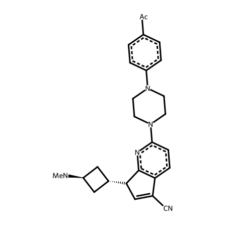 CN[C@H]1C[C@H](C2C=C(C#N)c3ccc(N4CCN(c5ccc(C(C)=O)cc5)CC4)nc32)C1